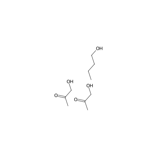 CC(=O)CO.CC(=O)CO.CCCCO